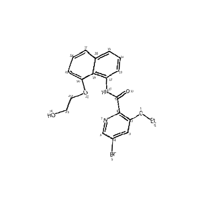 CCOc1cc(Br)cnc1C(=O)Nc1cccc2cccc(OCCO)c12